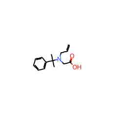 C=CCN(CC(=O)O)C(C)(C)c1ccccc1